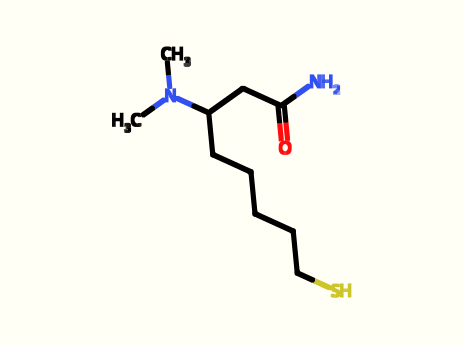 CN(C)C(CCCCCS)CC(N)=O